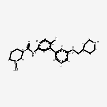 CCN1CCC[C@@H](C(=O)Nc2cc(-c3cncc(NCC4CCOCC4)n3)c(Cl)cn2)C1